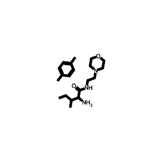 CCC(C)C(N)C(=O)NCCN1CCOCC1.Cc1ccc(C)cc1